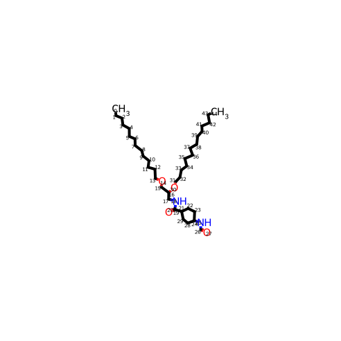 CCCCCCCCCCCCCCOCC(CNC(=O)C1CCC(NC=O)CC1)OCCCCCCCCCCCCCC